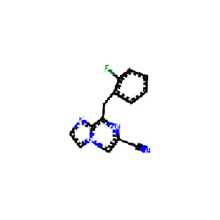 N#Cc1cn2ccnc2c(Cc2ccccc2F)n1